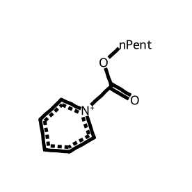 CCCCCOC(=O)[n+]1ccccc1